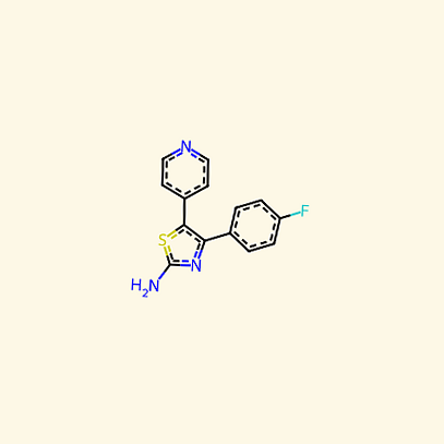 Nc1nc(-c2ccc(F)cc2)c(-c2ccncc2)s1